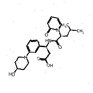 CC(C)C[C@@H](C(=O)N[C@@H](CC(=O)O)c1cccc(N2CCC(O)CC2)c1)n1ccccc1=O